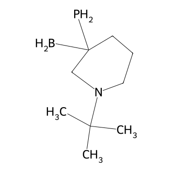 BC1(P)CCCN(C(C)(C)C)C1